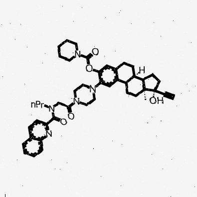 C#C[C@]1(O)CCC2[C@@H]3CCc4cc(OC(=O)N5CCCCC5)c(N5CCN(C(=O)CN(CCC)C(=O)c6ccc7ccccc7n6)CC5)cc4C3CC[C@@]21C